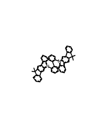 CC1(C)c2ccccc2-c2cc3c(cc21)c1ccccc1n3-c1ccccc1-c1ccccc1-n1c2ccccc2c2cc3c(cc21)-c1ccccc1C3(C)C